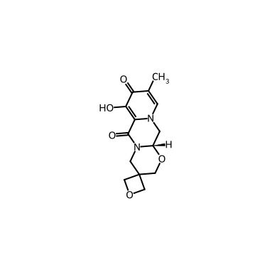 Cc1cn2c(c(O)c1=O)C(=O)N1CC3(COC3)CO[C@H]1C2